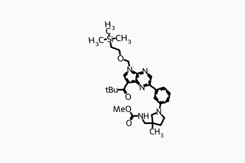 COC(=O)NCC1(C)CCN(c2cccc(-c3cnc4c(n3)c(C(=O)C(C)(C)C)cn4COCC[Si](C)(C)C)c2)C1